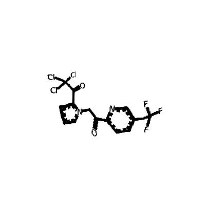 O=C(Cn1cccc1C(=O)C(Cl)(Cl)Cl)c1ccc(C(F)(F)F)cn1